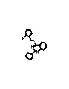 Fc1ccccc1CNc1nc(-c2ccccc2)nc2ccccc12